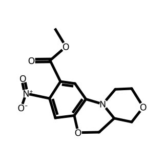 COC(=O)c1cc2c(cc1[N+](=O)[O-])OCC1COCCN21